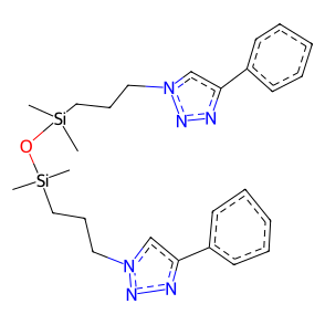 C[Si](C)(CCCn1cc(-c2ccccc2)nn1)O[Si](C)(C)CCCn1cc(-c2ccccc2)nn1